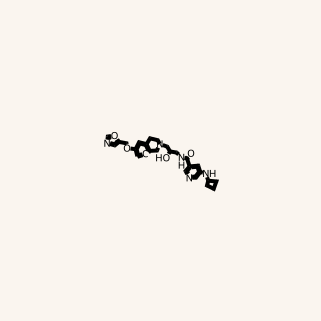 O=C(NCC(O)CN1CCc2cc(OCc3cnco3)ccc2C1)c1cncc(NC2CCC2)c1